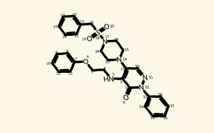 O=c1c(NCCOc2ccccc2)c(N2CCN(S(=O)(=O)Cc3ccccc3)CC2)cnn1-c1ccccc1